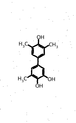 Cc1cc(-c2cc(C)c(O)c(O)c2)cc(C)c1O